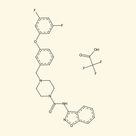 O=C(Nc1noc2ccccc12)N1CCN(Cc2cccc(Oc3cc(F)cc(F)c3)c2)CC1.O=C(O)C(F)(F)F